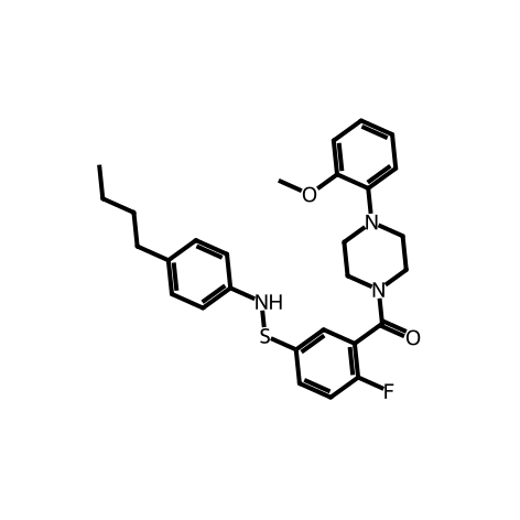 CCCCc1ccc(NSc2ccc(F)c(C(=O)N3CCN(c4ccccc4OC)CC3)c2)cc1